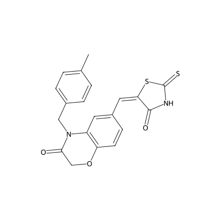 Cc1ccc(CN2C(=O)COc3ccc(C=C4SC(=S)NC4=O)cc32)cc1